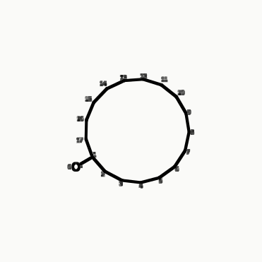 [O]C1CCCCCCCCCCCCCCCC1